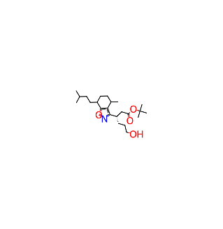 CC(C)CCC1CCC(C)c2c([C@@H](CCCO)CC(=O)OC(C)(C)C)noc21